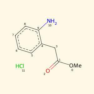 COC(=O)Cc1ccccc1N.Cl